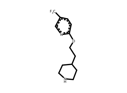 FC(F)(F)c1ccc(OCCC2CCNCC2)nc1